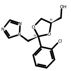 OC[C@@H]1CO[C@@](Cn2cncn2)(c2ccccc2Cl)O1